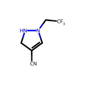 N#CC1=CN(CC(F)(F)F)NC1